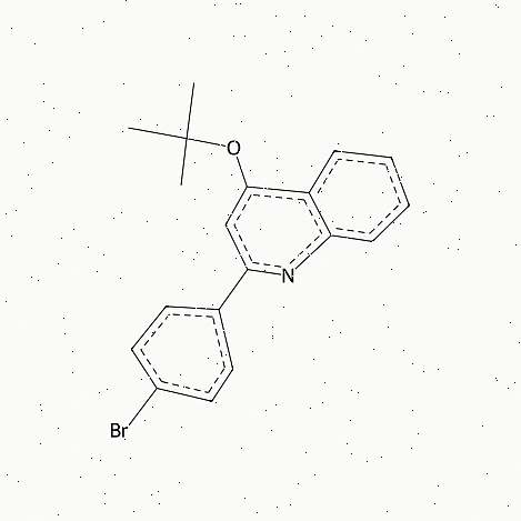 CC(C)(C)Oc1cc(-c2ccc(Br)cc2)nc2ccccc12